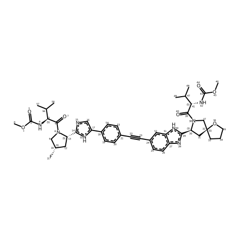 COC(=O)N[C@H](C(=O)N1C[C@@H](F)C[C@H]1c1ncc(-c2ccc(C#Cc3ccc4nc([C@@H]5C[C@@]6(CCCO6)CN5C(=O)[C@@H](NC(=O)OC)C(C)C)[nH]c4c3)cc2)[nH]1)C(C)C